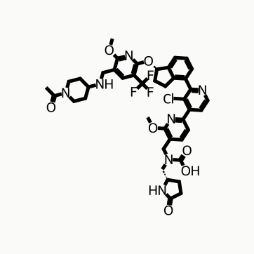 COc1nc(-c2ccnc(-c3cccc4c3CC[C@@H]4Oc3nc(OC)c(CNC4CCN(C(C)=O)CC4)cc3C(F)(F)F)c2Cl)ccc1CN(C[C@@H]1CCC(=O)N1)C(=O)O